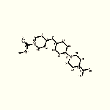 CSC(=O)N1CCC(CC2CCC(N3CCC(C(C)C)CC3)CC2)CC1